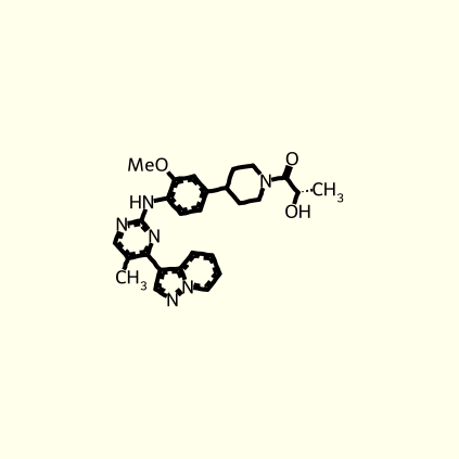 COc1cc(C2CCN(C(=O)[C@H](C)O)CC2)ccc1Nc1ncc(C)c(-c2cnn3ccccc23)n1